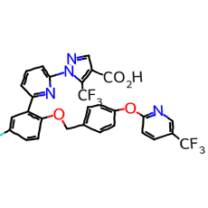 O=C(O)c1cnn(-c2cccc(-c3cc(F)ccc3OCc3ccc(Oc4ccc(C(F)(F)F)cn4)cc3)n2)c1C(F)(F)F